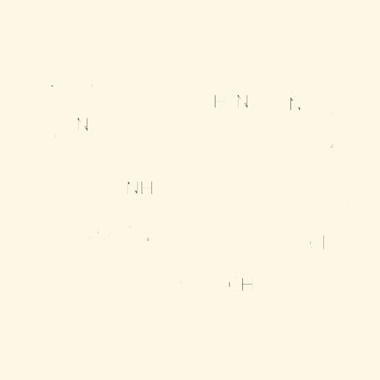 Cc1ccc(C(=O)NCCN2CCCC2)cc1C#Cc1c(Cl)ccc2cnc(N)cc12